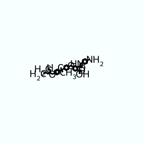 C=C/C=C(\C=C)Oc1ccc(C(C)(C)c2ccc(Oc3ccc(C(=O)O)c(C(=O)Nc4ccc(N)cc4)c3)cc2)cc1